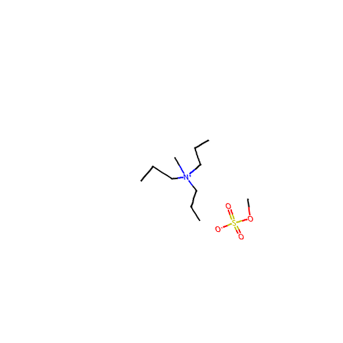 CCC[N+](C)(CCC)CCC.COS(=O)(=O)[O-]